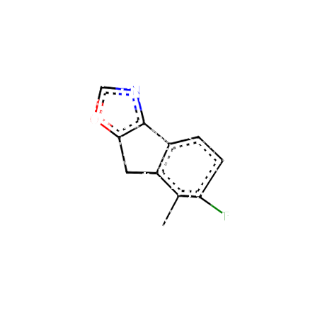 Cc1c(F)ccc2c1Cc1ocnc1-2